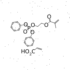 C=C(C)C(=O)OCCOP(=O)(Oc1ccccc1)Oc1ccccc1.C=CC(=O)O